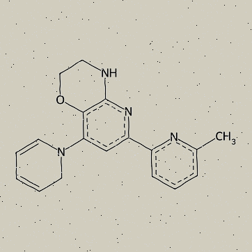 Cc1cccc(-c2cc(N3C=CC=CC3)c3c(n2)NCCO3)n1